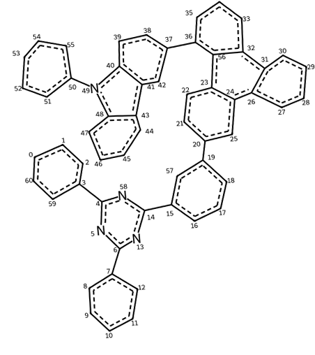 c1ccc(-c2nc(-c3ccccc3)nc(-c3cccc(-c4ccc5c(c4)c4ccccc4c4cccc(-c6ccc7c(c6)c6ccccc6n7-c6ccccc6)c45)c3)n2)cc1